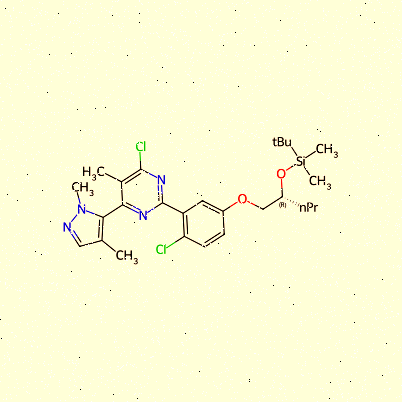 CCC[C@H](COc1ccc(Cl)c(-c2nc(Cl)c(C)c(-c3c(C)cnn3C)n2)c1)O[Si](C)(C)C(C)(C)C